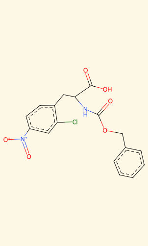 O=C(NC(Cc1ccc([N+](=O)[O-])cc1Cl)C(=O)O)OCc1ccccc1